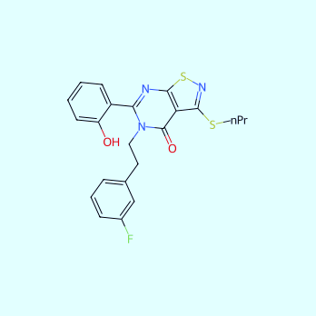 CCCSc1nsc2nc(-c3ccccc3O)n(CCc3cccc(F)c3)c(=O)c12